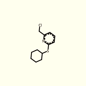 ClCc1cccc(SC2CCCCC2)n1